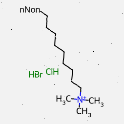 Br.CCCCCCCCCCCCCCCCCC[N+](C)(C)C.Cl